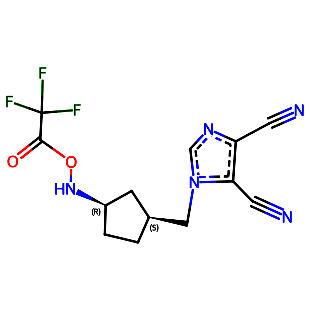 N#Cc1ncn(C[C@H]2CC[C@@H](NOC(=O)C(F)(F)F)C2)c1C#N